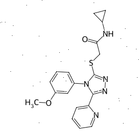 COc1cccc(-n2c(SCC(=O)NC3CC3)nnc2-c2ccccn2)c1